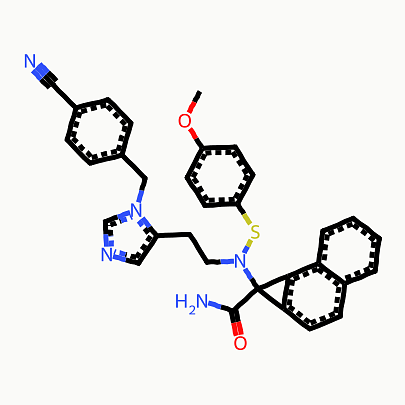 COc1ccc(SN(CCc2cncn2Cc2ccc(C#N)cc2)C2(C(N)=O)c3ccc4ccccc4c32)cc1